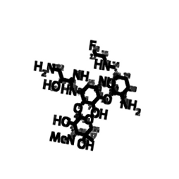 CN[C@@H]1C(O)[C@@H](OC2C(O)C(O[C@H]3O[C@H](CNCCF)CCC3N)[C@@H](N)C[C@H]2NC(=N)C(O)CN)OCC1(C)O